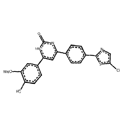 COc1cc(-c2cc(-c3ccc(-c4ncc(Cl)s4)cc3)nc(=O)[nH]2)ccc1O